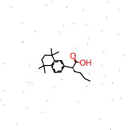 CCCC[C@H](C(=O)O)c1ccc2c(c1)C(C)(C)CCC2(C)C